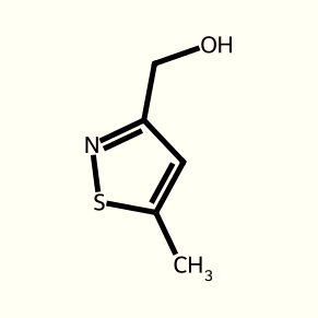 Cc1cc(CO)ns1